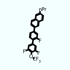 CCCc1ccc2cc(-c3ccc(-c4cc(F)c(OC(F)(F)F)c(F)c4)c(F)c3)ccc2c1